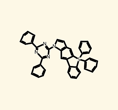 c1ccc(-c2nc(-c3ccccc3)nc(-n3ccc4cc5c(cc43)-c3ccccc3S5(c3ccccc3)c3ccccc3)n2)cc1